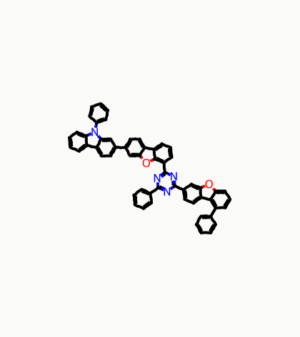 c1ccc(-c2nc(-c3ccc4c(c3)oc3cccc(-c5ccccc5)c34)nc(-c3cccc4c3oc3cc(-c5ccc6c7ccccc7n(-c7ccccc7)c6c5)ccc34)n2)cc1